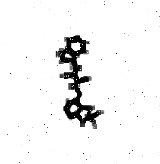 O=C(NCc1cccc2c1OC(F)(F)O2)C(=O)Nc1c[nH]c2ccncc12